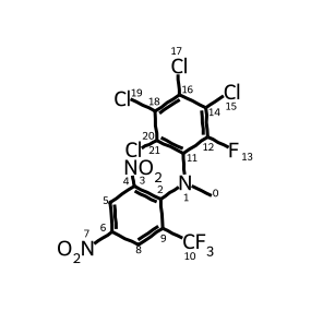 CN(c1c([N+](=O)[O-])cc([N+](=O)[O-])cc1C(F)(F)F)c1c(F)c(Cl)c(Cl)c(Cl)c1Cl